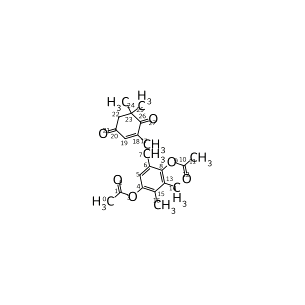 CC(=O)Oc1cc(C)c(OC(C)=O)c(C)c1C.CC1=CC(=O)CC(C)(C)C1=O